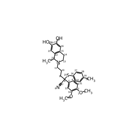 COc1ccc(C(C#N)(CCCN2CCc3cc(O)c(O)cc3C2C)Sc2ccc(C)cc2)cc1OC